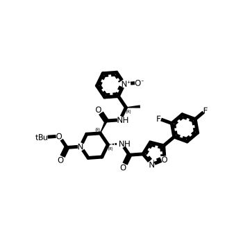 C[C@@H](NC(=O)[C@@H]1CN(C(=O)OC(C)(C)C)CC[C@H]1NC(=O)c1cc(-c2ccc(F)cc2F)on1)c1cccc[n+]1[O-]